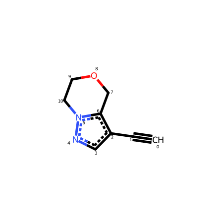 C#Cc1cnn2c1COCC2